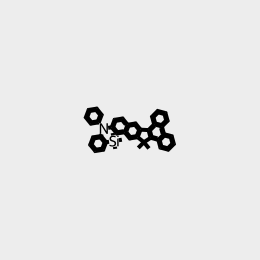 CC1(C)c2cc3cc(N(c4ccccc4)c4ccccc4[Si](C)(C)C)ccc3cc2-c2c1c1ccccc1c1ccccc21